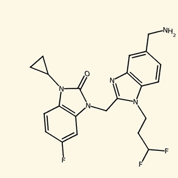 NCc1ccc2c(c1)nc(Cn1c(=O)n(C3CC3)c3ccc(F)cc31)n2CCC(F)F